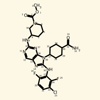 COC(=O)N1CCCC(Nc2ncc3nc(Nc4c(F)ccc(Cl)c4F)n(C4CCC(C(N)=O)CC4)c3n2)C1